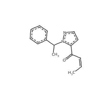 C/C=C\C(=O)c1ccnn1C(C)c1ccccc1